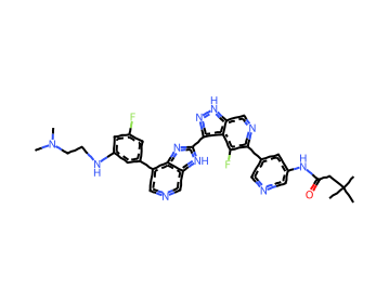 CN(C)CCNc1cc(F)cc(-c2cncc3[nH]c(-c4n[nH]c5cnc(-c6cncc(NC(=O)CC(C)(C)C)c6)c(F)c45)nc23)c1